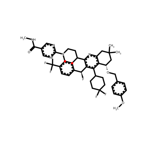 CNC(=O)c1cnc(N2CCC(c3nc4c(c(C5CCC(F)(F)CC5)c3[C@@H](F)c3ccc(C(F)(F)F)cc3)[C@@H](OCc3ccc(OC)cc3)CC(C)(C)C4)CC2)nc1